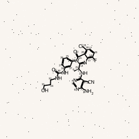 C[C@H](Nc1ncnc(N)c1C#N)c1nc2c(F)ccc(Cl)c2c(=O)n1-c1cccc(NC(=O)NCCCO)c1